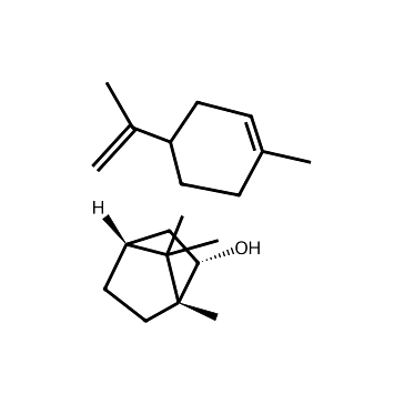 C=C(C)C1CC=C(C)CC1.CC1(C)[C@@H]2CC[C@@]1(C)[C@@H](O)C2